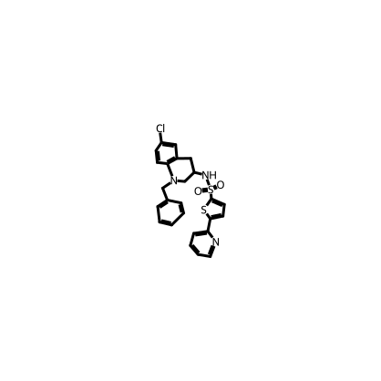 O=S(=O)(NC1Cc2cc(Cl)ccc2N(Cc2ccccc2)C1)c1ccc(-c2ccccn2)s1